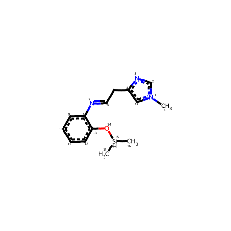 Cn1cnc(CC=Nc2ccccc2O[SiH](C)C)c1